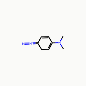 CN(C)C1=CCC(=[N+]=[N-])C=C1